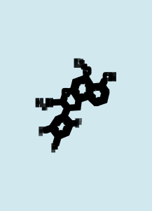 CCOc1cc2c(c3cccc(C#N)c13)CC(c1cc(F)c(F)cc1F)C(N)O2